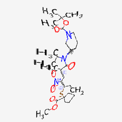 C=C/C(SC1(C(=O)OC)CCCC1)=C(\C=C(/C)C(=O)N(C(C)C)[C@@H]1CCCN(C(=O)OC(C)(C)C)C1)[N+](=O)[O-]